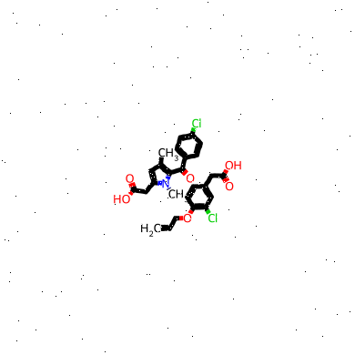 C=CCOc1ccc(CC(=O)O)cc1Cl.Cc1cc(CC(=O)O)n(C)c1C(=O)c1ccc(Cl)cc1